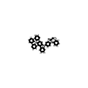 c1ccc([Si](c2ccccc2)(c2ccccc2)c2ccc3c(c2)c2ccccc2n3-c2ccc3c(c2)nc2n3-c3ccccc3OC2)cc1